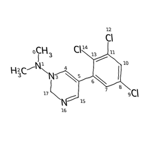 CN(C)N1C=C(c2cc(Cl)cc(Cl)c2Cl)C=NC1